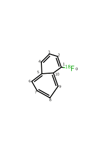 [18F]c1cccc2ccccc12